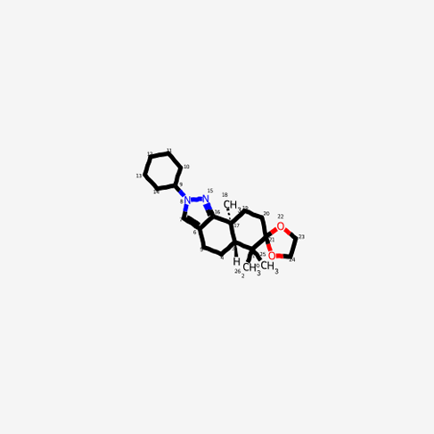 CC1(C)[C@@H]2CCc3cn(C4CCCCC4)nc3[C@@]2(C)CCC12OCCO2